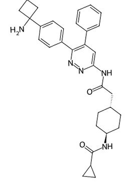 NC1(c2ccc(-c3nnc(NC(=O)C[C@H]4CC[C@H](NC(=O)C5CC5)CC4)cc3-c3ccccc3)cc2)CCC1